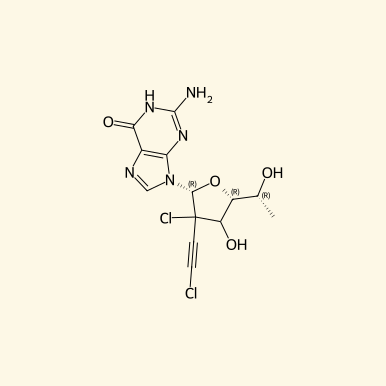 C[C@@H](O)[C@H]1O[C@@H](n2cnc3c(=O)[nH]c(N)nc32)C(Cl)(C#CCl)C1O